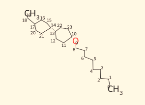 CCCCCCCCCO[C@H]1CC[C@H](C2CCC(CC)CC2)CC1